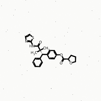 CC(C)(C(=O)Nc1nccs1)[C@@H](c1ccccc1)c1ccc(OC(=O)C2CCCO2)cc1